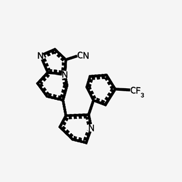 N#Cc1cnc2ccc(-c3cccnc3-c3cccc(C(F)(F)F)c3)cn12